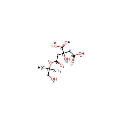 CC(C)(CO)OC(=O)CC(O)(CC(=O)O)C(=O)O